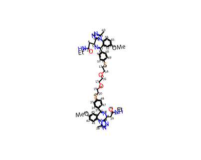 CCNC(=O)CC1N=C(c2ccc(SCCOCCOCCSc3ccc(C4=N[C@@H](CC(=O)NCC)c5nnc(C)n5-c5ccc(OC)cc54)cc3)cc2)c2cc(OC)ccc2-n2c(C)nnc21